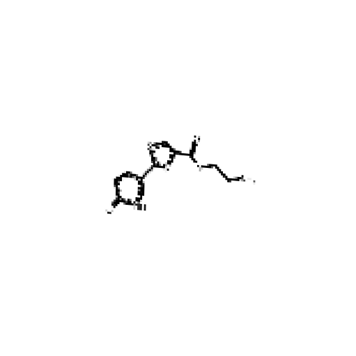 CCCNC(=O)c1csc(-c2ccc(=O)[nH]c2)n1